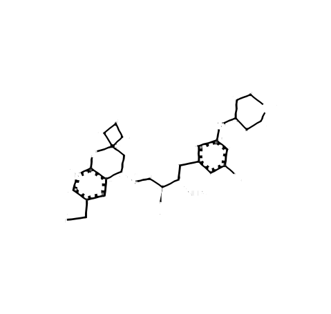 CC(=O)N[C@@H](Cc1cc(F)cc(NC2CCOCC2)c1)[C@@H](O)CN[C@H]1CC2(CCC2)Oc2ncc(CC(C)(C)C)cc21